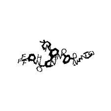 CN(CCN1CCOCC1)C(=O)c1cccc(C(=O)Nc2ccc(N3CCC(C)(C)CC3)cc2-c2cc(C(=O)NCc3cccc(C(F)(F)F)c3)ccn2)c1